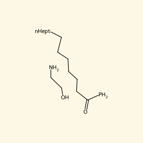 CCCCCCCCCCCCCC(=O)P.NCCO